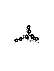 CC1(C)c2ccccc2-c2ccc(N(c3ccc4nc(-c5ccc(-c6ccccc6)cc5)oc4c3)c3ccc4c(c3)oc3ccccc34)cc21